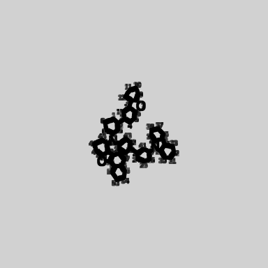 c1cc(-c2ccc3oc4ccccc4c3c2)cc(N(c2ccc(-c3cccc(-n4c5ccccc5c5ccccc54)c3)cc2)c2cccc3oc4c5ccccc5ccc4c23)c1